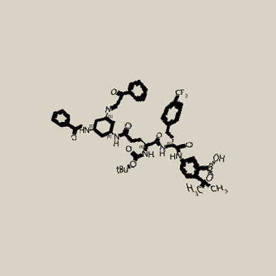 CC(C)(C)OC(=O)N[C@@H](CCC(=O)N[C@H]1C[C@@H](N=CC(=O)c2ccccc2)C[C@@H](NCC(=O)c2ccccc2)C1)C(=O)N[C@H](CCc1ccc(C(F)(F)F)cc1)C(=O)Nc1ccc2c(c1)B(O)OC2(C)C